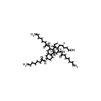 C[C@H](CCCO)[C@H]1CC[C@H]2C3C(NC(=O)CCCCCN)CC4C[C@H](NC(=O)CCCCCN)CC[C@]4(C)[C@H]3C[C@H](NC(=O)CCCCCN)[C@]12C